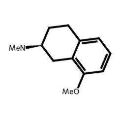 CN[C@H]1CCc2cccc(OC)c2C1